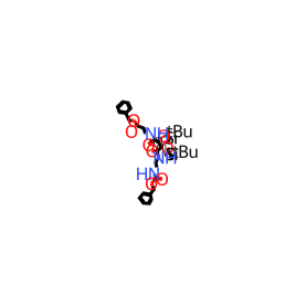 CC(C)(C)[Si](C)(C)O[C@H](C(=O)NCCC(=O)OCc1ccccc1)[C@@H](O[Si](C)(C)C(C)(C)C)C(=O)NCCNC(=O)OCc1ccccc1